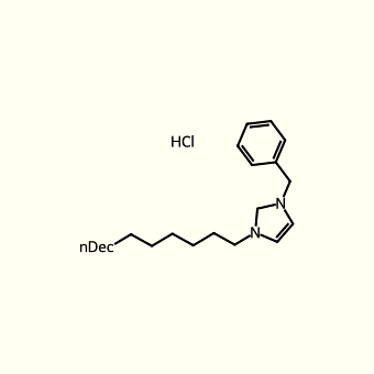 CCCCCCCCCCCCCCCCN1C=CN(Cc2ccccc2)C1.Cl